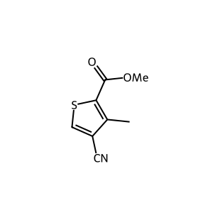 COC(=O)c1scc(C#N)c1C